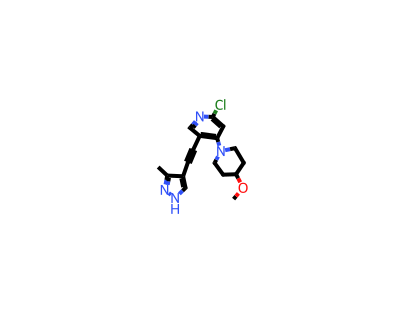 COC1CCN(c2cc(Cl)ncc2C#Cc2c[nH]nc2C)CC1